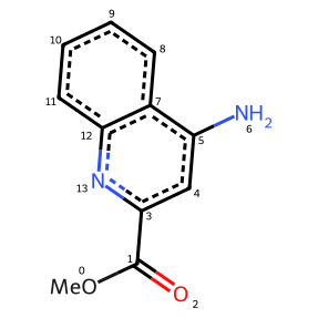 COC(=O)c1cc(N)c2ccccc2n1